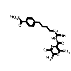 N=C(NCCCCc1ccc(C(=O)S(=O)(=O)O)cc1)NC(=O)c1nc(Cl)c(N)nc1N